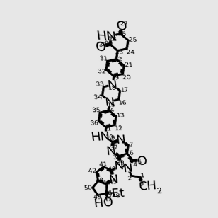 C=CCn1c(=O)c2cnc(Nc3ccc(N4CCN(c5ccc(C6CCC(=O)NC6=O)cc5)CC4)cc3)nc2n1-c1ccc2c(n1)[C@@](O)(CC)CC2